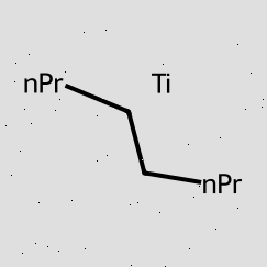 [CH2]CCCCCCC.[Ti]